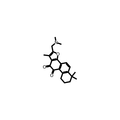 Cc1c(CN(C)C)oc2c1C(=O)C(=O)c1c-2ccc2c1CCCC2(C)C